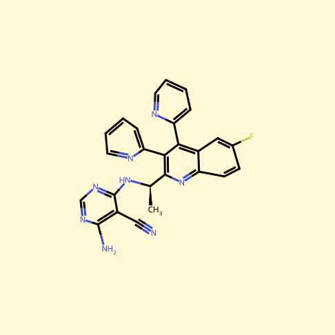 C[C@@H](Nc1ncnc(N)c1C#N)c1nc2ccc(F)cc2c(-c2ccccn2)c1-c1ccccn1